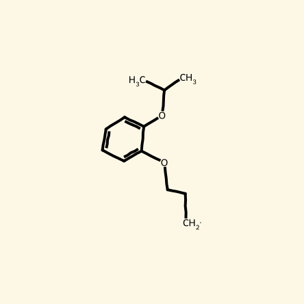 [CH2]CCOc1ccccc1OC(C)C